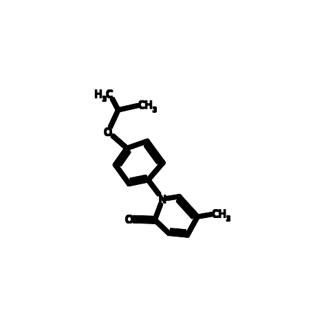 Cc1ccc(=O)n(-c2ccc(OC(C)C)cc2)c1